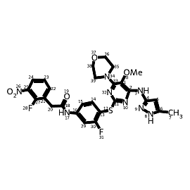 COc1c(Nc2cc(C)[nH]n2)nc(Sc2ccc(NC(=O)Cc3cccc([N+](=O)[O-])c3F)cc2F)nc1N1CCOCC1